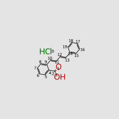 Cl.O=C(O)c1ccccc1C=CC=Cc1ccccc1